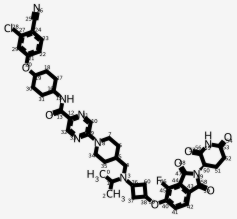 CC(C)N(CC1CCN(c2cnc(C(=O)NC3CCC(Oc4ccc(C#N)c(Cl)c4)CC3)cn2)CC1)C1CC(Oc2ccc3c(c2F)C(=O)N([C@@H]2CCC(=O)NC2=O)C3=O)C1